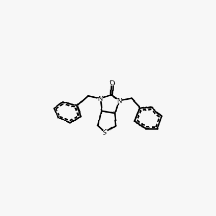 O=C1N(Cc2ccccc2)C2CSCC2N1Cc1ccccc1